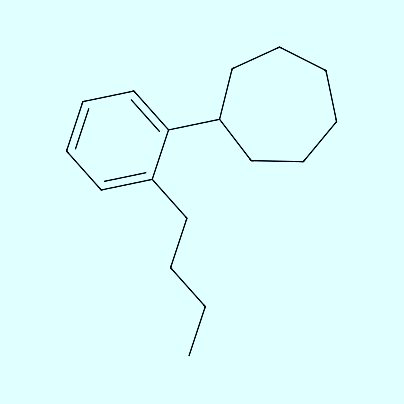 CCCCc1ccccc1C1CCCCCC1